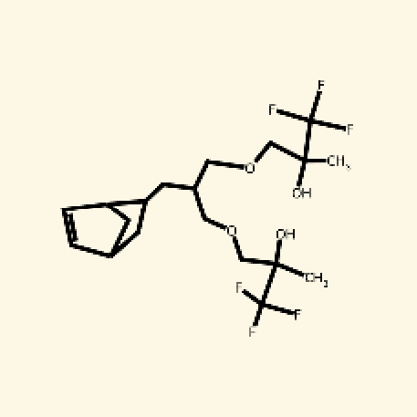 CC(O)(COCC(COCC(C)(O)C(F)(F)F)CC1CC2C=CC1C2)C(F)(F)F